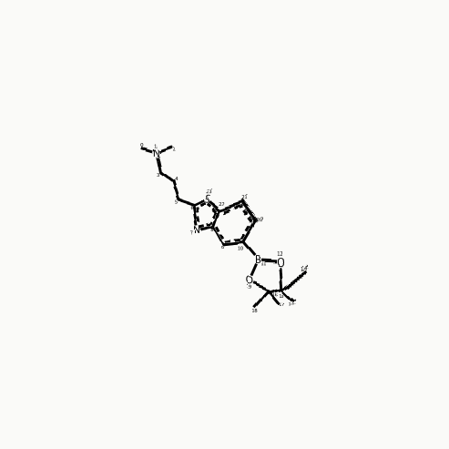 CN(C)CCCc1nc2cc(B3OC(C)(C)C(C)(C)O3)ccc2s1